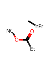 CCC(=O)OC#N.CCCC